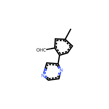 Cc1ccc(-c2cnccn2)c(C=O)c1